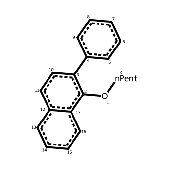 CCCCCOc1c(-c2ccccc2)ccc2ccccc12